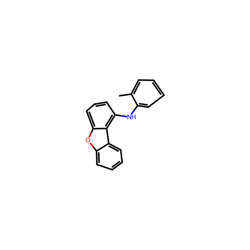 Cc1ccccc1Nc1cccc2oc3ccccc3c12